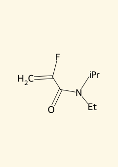 C=C(F)C(=O)N(CC)C(C)C